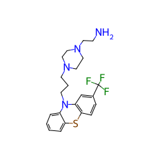 NCCN1CCN(CCCN2c3ccccc3Sc3ccc(C(F)(F)F)cc32)CC1